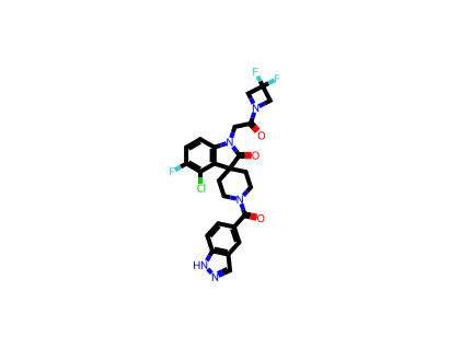 O=C(CN1C(=O)C2(CCN(C(=O)c3ccc4[nH]ncc4c3)CC2)c2c1ccc(F)c2Cl)N1CC(F)(F)C1